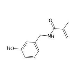 C=C(C)C(=O)NCc1cccc(O)c1